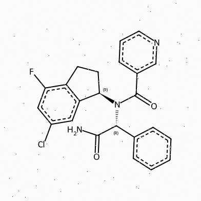 NC(=O)[C@@H](c1ccccc1)N(C(=O)c1cccnc1)[C@@H]1CCc2c(F)cc(Cl)cc21